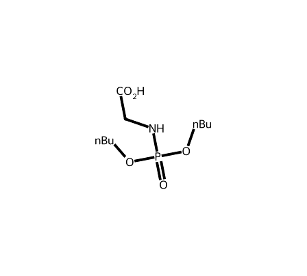 CCCCOP(=O)(NCC(=O)O)OCCCC